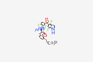 CCOC(=O)CCc1cccc2c1OCCC2(C)c1c[nH]c(-c2cc(C(O)c3c(F)c(F)c4[nH]ccc4c3F)ccc2F)n1